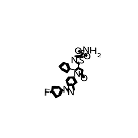 NS(=O)(=O)c1cnc([C@H]2CC(=O)N(c3ccc4c(cnn4-c4ccc(F)cc4)c3)[C@H]2c2ccccc2)s1